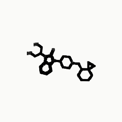 O=c1n(C(CO)CO)c2ccccc2n1C1CCN(C[C@@H]2CCCCC23CC3)CC1